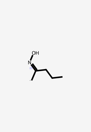 [CH2]/C(CCC)=N/O